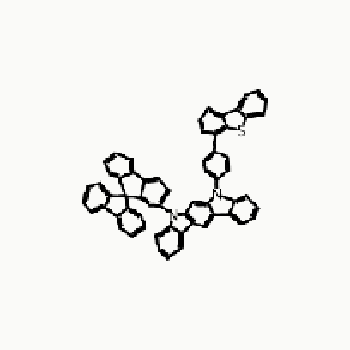 c1ccc2c(c1)-c1ccccc1C21c2ccccc2-c2ccc(-n3c4ccccc4c4cc5c6ccccc6n(-c6ccc(-c7cccc8c7sc7ccccc78)cc6)c5cc43)cc21